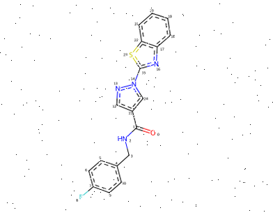 O=C(NCc1ccc(F)cc1)c1cnn(-c2nc3ccccc3s2)c1